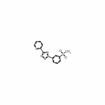 CS(=O)(=O)c1cccc(-n2nnc(-c3ccccn3)n2)c1